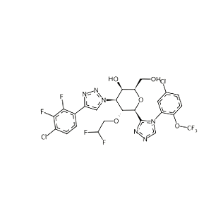 OC[C@H]1O[C@@H](c2nncn2-c2cc(Cl)ccc2OC(F)(F)F)[C@H](OCC(F)F)[C@@H](n2cc(-c3ccc(Cl)c(F)c3F)nn2)[C@H]1O